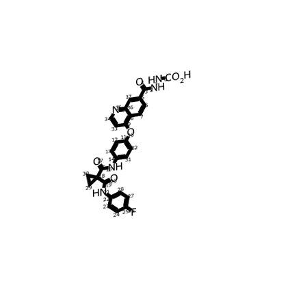 O=C(O)NNC(=O)c1ccc2c(Oc3ccc(NC(=O)C4(C(=O)Nc5ccc(F)cc5)CC4)cc3)ccnc2c1